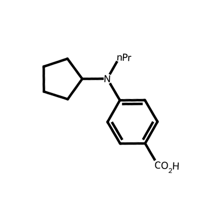 CCCN(c1ccc(C(=O)O)cc1)C1CCCC1